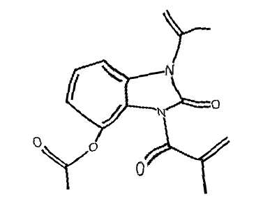 C=C(C)C(=O)n1c(=O)n(C(=C)C)c2cccc(OC(C)=O)c21